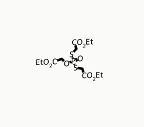 CCOC(=O)COP(=O)(SCC(=O)OCC)SCC(=O)OCC